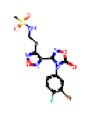 CS(=O)(=O)NCCc1nonc1-c1noc(=O)n1-c1ccc(F)c(Br)c1